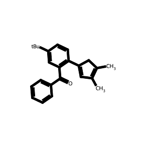 CC1=C(C)CC(c2ccc(C(C)(C)C)cc2C(=O)c2ccccc2)=C1